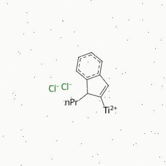 CCCC1[C]([Ti+2])=Cc2ccccc21.[Cl-].[Cl-]